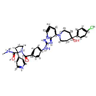 CN(C)C(=O)C1(c2ccncc2)CCCN1C(=O)c1ccc(Nc2nc3c(N4CCC(O)(c5ccc(Cl)cc5)CC4)cccn3n2)cc1